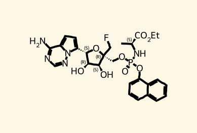 CCOC(=O)[C@H](C)NP(=O)(OC[C@@]1(CF)O[C@@H](c2ccc3c(N)ncnn23)[C@H](O)[C@@H]1O)Oc1cccc2ccccc12